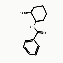 N[C@H]1CCCC[C@@H]1NC(=O)c1ccccc1